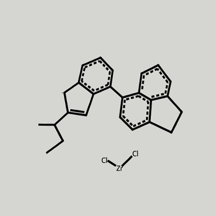 CCC(C)C1=Cc2c(cccc2-c2ccc3c4c(cccc24)CC3)[CH]1.[Cl][Zr][Cl]